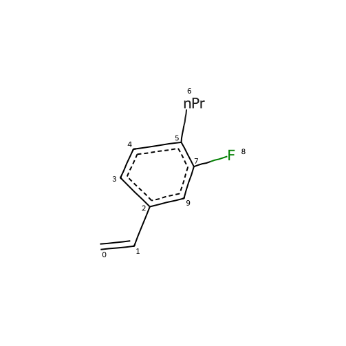 C=Cc1ccc(CCC)c(F)c1